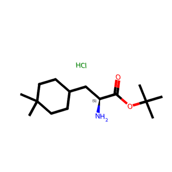 CC1(C)CCC(C[C@H](N)C(=O)OC(C)(C)C)CC1.Cl